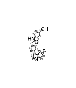 C#Cc1ccc(NC(=O)C[C@H]2CC[C@@H](c3ccnc4ccc(F)cc43)CC2)cc1